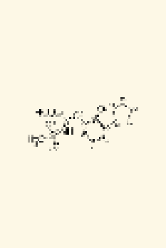 CS(=O)(=O)NC(Oc1cccc2c1OC1CCCC21)C(=O)O